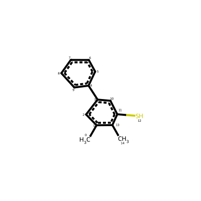 Cc1cc(-c2ccccc2)cc(S)c1C